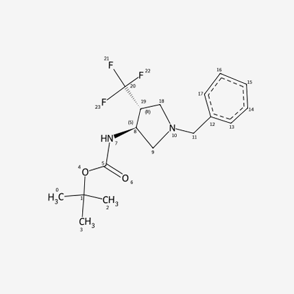 CC(C)(C)OC(=O)N[C@@H]1CN(Cc2ccccc2)C[C@H]1C(F)(F)F